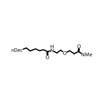 CCCCCCCCCCCCCCCC(=O)NCCOCCC(=O)NC